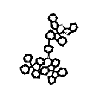 c1ccc(C2(c3ccccc3)c3ccccc3-c3cc(N(c4ccc(-c5cccc6c5-c5ccccc5C65c6ccc7ccccc7c6Oc6c5ccc5ccccc65)cc4)c4cccc5c4-c4ccccc4C54c5ccccc5-c5ccccc54)ccc32)cc1